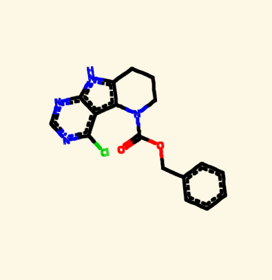 O=C(OCc1ccccc1)N1CCCc2[nH]c3ncnc(Cl)c3c21